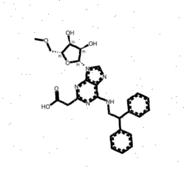 COC[C@H]1O[C@@H](n2cnc3c(NCC(c4ccccc4)c4ccccc4)nc(CC(=O)O)nc32)[C@H](O)[C@@H]1O